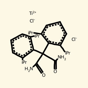 CC(C)c1cccc(C(C)C)c1C(C(N)=O)(C(N)=O)c1c(C(C)C)cccc1C(C)C.[Cl-].[Cl-].[Ti+2]